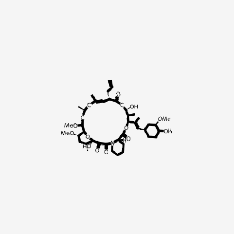 C=CC[C@H]1/C=C(\C)C[C@H](C)CC(OC)C2O[C@@](O)(C(=O)C(=O)N3CCCC[C@H]3C(=O)OC(/C(C)=C/[C@@H]3CCC(O)[C@H](OC)C3)C(C)[C@@H](O)CC1=O)[C@H](C)C[C@@H]2OC